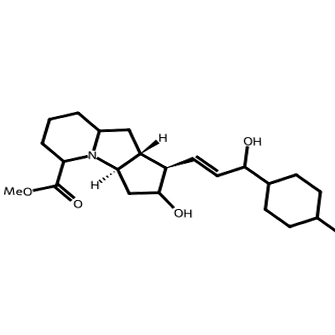 CCC1CCC(C(O)/C=C/[C@H]2C(O)C[C@@H]3[C@@H]2CC2CCCC(C(=O)OC)N23)CC1